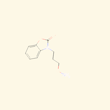 NOCCCn1c(=O)oc2ccccc21